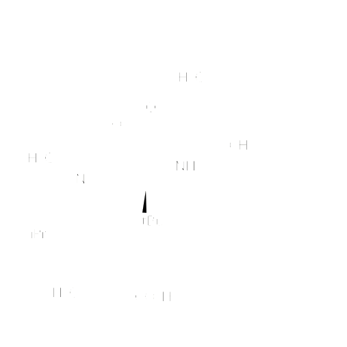 C/C(=C\[C@H](C(C)C)N(C)C(=O)[C@@H](NC(=O)C(C)(C)c1ccccc1)C(C)(C)C)C(=O)O